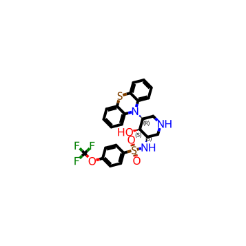 O=S(=O)(N[C@H]1CNC[C@@H](N2c3ccccc3Sc3ccccc32)[C@@H]1O)c1ccc(OC(F)(F)F)cc1